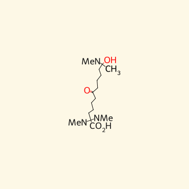 CNC(C)(O)CCCCC(=O)CCCCC(NC)(NC)C(=O)O